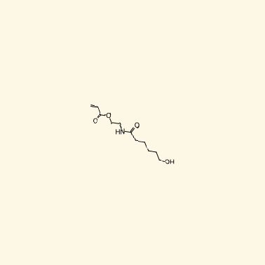 C=CC(=O)OCCNC(=O)CCCCCO